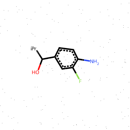 CC(C)C(O)c1ccc(N)c(F)c1